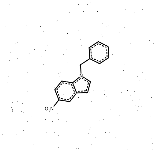 O=[N+]([O-])c1ccc2c([c]cn2Cc2ccccc2)c1